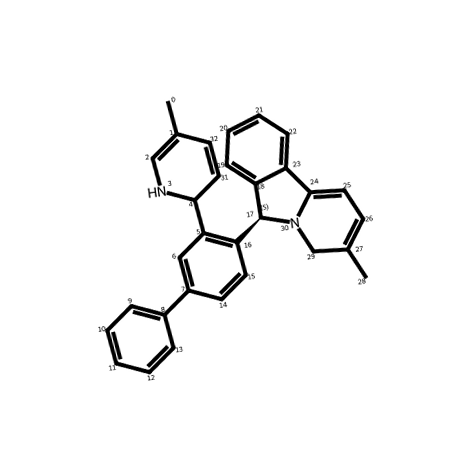 CC1=CNC(c2cc(-c3ccccc3)ccc2[C@H]2c3ccccc3C3=CC=C(C)CN32)C=C1